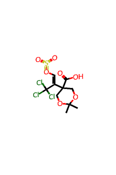 CC1(C)OCC(C(=O)O)(C(=CO[SH](=O)=O)C(Cl)(Cl)Cl)CO1